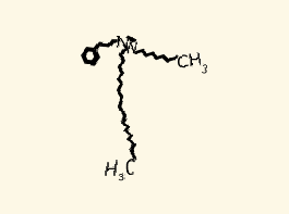 CCCCCCCCCCCCCCCCCCCc1n(CCCCCCCCC)cc[n+]1CCCc1ccccc1